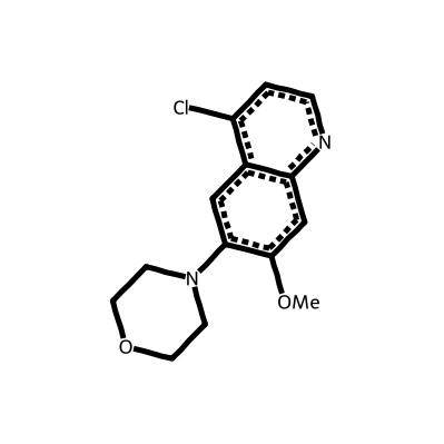 COc1cc2nccc(Cl)c2cc1N1CCOCC1